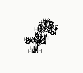 CNC(=N)NCCC[C@H](NC(=O)[C@H](CC(C)C)NC(=O)NNC(=O)[C@H](Cc1ccccc1)NC(=O)[C@@H](NC(=O)[C@H](CC(N)=O)NC(=O)[C@@H]1CC2CCCCC2N1C(=O)[C@@H](Cc1ccc(O)cc1)NC(C)=O)[C@@H](C)O)C(=O)N[C@@H](Cc1c[nH]c2ccccc12)C(N)=O